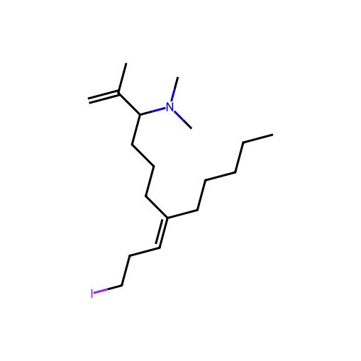 C=C(C)C(CCC/C(=C\CCI)CCCCC)N(C)C